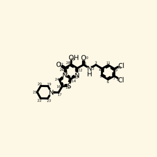 O=C(NCc1ccc(Cl)c(Cl)c1)c1nc2sc(CN3CCCCC3)cn2c(=O)c1O